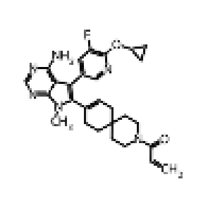 C=CC(=O)N1CCC2(CC=C(c3c(-c4cnc(OC5CC5)c(F)c4)c4c(N)ncnc4n3C)CC2)CC1